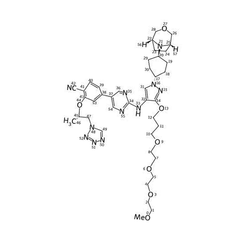 COCCOCCOCCOCCCOc1nn([C@H]2CC[C@H](N3[C@@H]4CC[C@H]3COC4)CC2)cc1Nc1ncc(-c2ccc(C#N)c(O[C@@H](C)Cn3cnnn3)c2)cn1